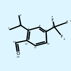 CC(C)c1cc(C(F)(F)F)ccc1C=O